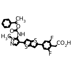 C[C@@H](OC(=O)Nc1c(-c2cc3sc(-c4cc(F)c(CC(=O)O)c(F)c4)cc3s2)cnn1C)c1ccccc1